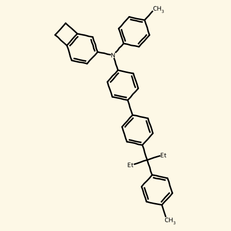 CCC(CC)(c1ccc(C)cc1)c1ccc(-c2ccc(N(c3ccc(C)cc3)c3ccc4c(c3)CC4)cc2)cc1